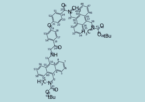 CN(Cc1c2ccccc2c(CNCC(=O)c2ccc(Oc3ccc(C(=O)N(C)Cc4c5ccccc5c(CN(C)C(=O)OC(C)(C)C)c5ccccc45)cc3)cc2)c2ccccc12)C(=O)OC(C)(C)C